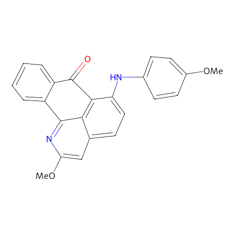 COc1ccc(Nc2ccc3cc(OC)nc4c3c2C(=O)c2ccccc2-4)cc1